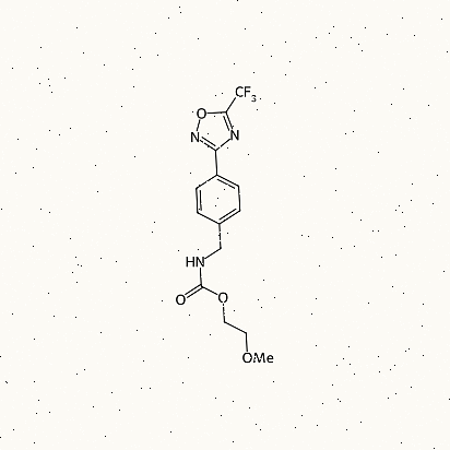 COCCOC(=O)NCc1ccc(-c2noc(C(F)(F)F)n2)cc1